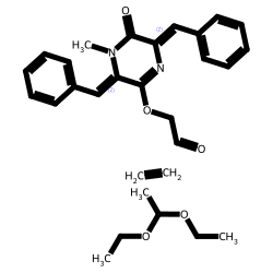 C=C.CCOC(C)OCC.Cn1c(=O)/c(=C/c2ccccc2)nc(OCC=O)/c1=C/c1ccccc1